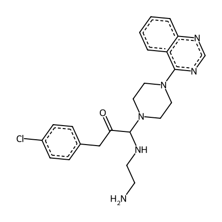 NCCNC(C(=O)Cc1ccc(Cl)cc1)N1CCN(c2ncnc3ccccc23)CC1